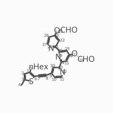 CCCCCCc1cc(C)sc1C#Cc1ccnc(-c2cc(OC=O)cc(-c3cc(OC=O)ccn3)n2)c1